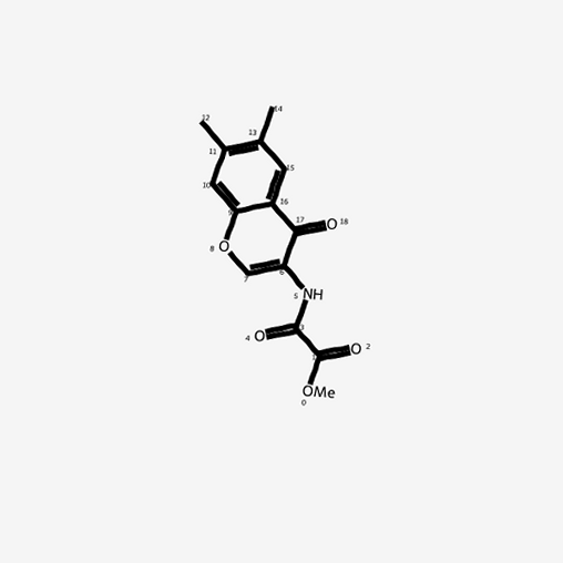 COC(=O)C(=O)Nc1coc2cc(C)c(C)cc2c1=O